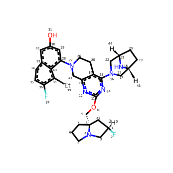 [2H][C@]1(F)CN2CCC[C@@]2(COc2nc3c(c(N4C[C@H]5CC[C@@H](C4)N5)n2)CCN(c2cc(O)cc4ccc(F)c(CC)c24)C3)C1